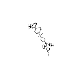 CCCOC(=O)Nc1ccc(C(C)(C)c2ccc(O)cc2)cc1